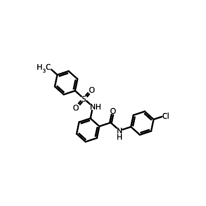 Cc1ccc(S(=O)(=O)Nc2ccccc2C(=O)Nc2ccc(Cl)cc2)cc1